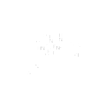 CCOC(=O)C(NC(=O)CCN1CCOCC1)(Nc1nc2cc(Cl)c(Cl)cc2[nH]1)C(F)(F)F